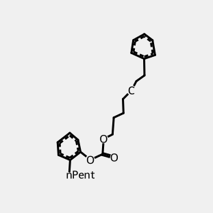 CCCCCc1ccccc1OC(=O)OCCCCCCCc1ccccc1